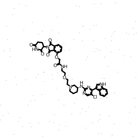 O=C(COc1cccc2c1C(=O)N(C1CCC(=O)NC1=O)C2=O)NCCOCCN1CCC[C@@H](Nc2ncc(Cl)c(-c3c[nH]c4ccccc34)n2)C1